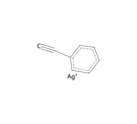 [Ag+].[C-]#Cc1ccccc1